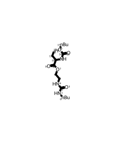 CCCCNC(=O)NCCOC(=O)C(CC(C)C)NC(=O)OCCCC